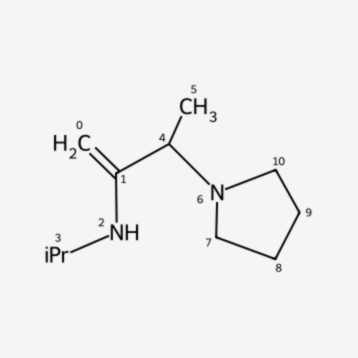 C=C(NC(C)C)C(C)N1CCCC1